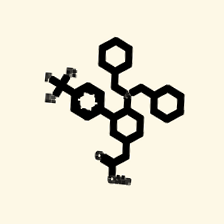 CCC(F)(CC)c1ccc(C2CC(CC(=O)OC)CCC2N(CC2CCCCC2)CC2CCCCC2)cc1